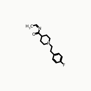 C/C=N\C(=O)C1CCN(CCc2ccc(F)cc2)CC1